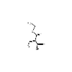 CCOC(=O)C(=[CH][Ta])C(=O)O